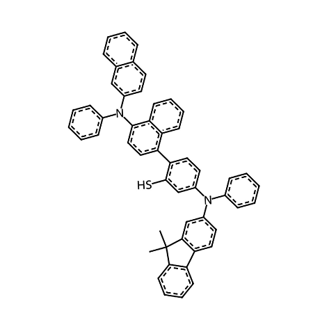 CC1(C)c2ccccc2-c2ccc(N(c3ccccc3)c3ccc(-c4ccc(N(c5ccccc5)c5ccc6ccccc6c5)c5ccccc45)c(S)c3)cc21